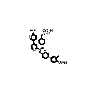 COc1ccc([C@H]2CC[C@H](CN(c3cc(-c4ccc(N(C)C)nc4)ccn3)C(=O)[C@H]3CC[C@H](CNC(=O)O)CC3)CC2)cc1C